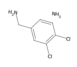 N.NCc1ccc(Cl)c(Cl)c1